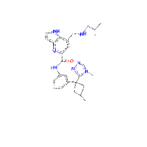 CC(C)CNCc1cc(C(=O)Nc2cccc(C3(c4nncn4C)CC(C)C3)c2)nc2cc[nH]c12